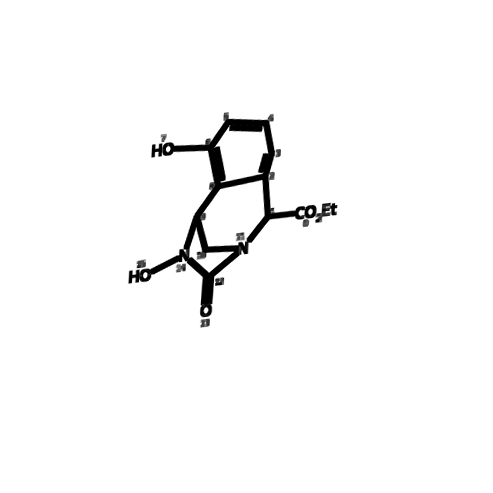 CCOC(=O)C1c2cccc(O)c2C2CN1C(=O)N2O